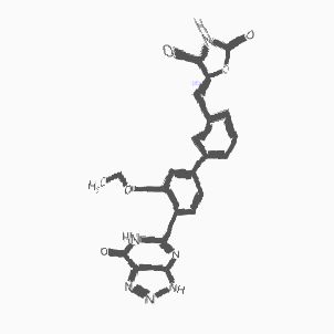 CCOc1cc(-c2cccc(/C=C3\OC(=O)NC3=O)c2)ccc1-c1nc2[nH]nnc2c(=O)[nH]1